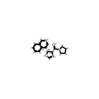 O=C([C@H]1N=CO[C@@H]1c1cncc2ccccc12)N1CCCC1